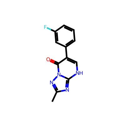 Cc1nc2[nH]cc(-c3cccc(F)c3)c(=O)n2n1